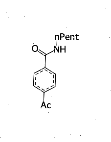 CCCCCNC(=O)c1ccc(C(C)=O)cc1